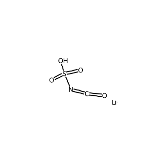 O=C=NS(=O)(=O)O.[Li]